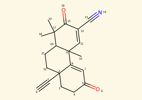 C#CC12CCC(=O)C=C1C1(C)C=C(C#N)C(=O)C(C)(C)C1CC2